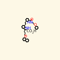 O=C(NCCOc1ccccc1)c1cccc(/C=C/c2cccc3c(CCCOc4cccc5ccccc45)c(C(=O)O)[nH]c23)c1